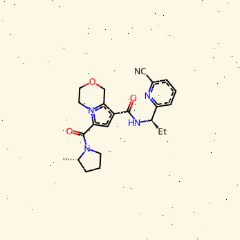 CC[C@@H](NC(=O)c1cc(C(=O)N2CCC[C@@H]2C)n2c1COCC2)c1cccc(C#N)n1